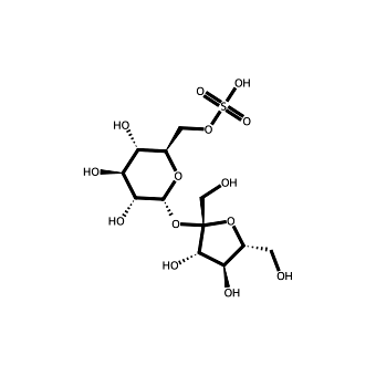 O=S(=O)(O)OC[C@H]1O[C@H](O[C@]2(CO)O[C@H](CO)[C@@H](O)[C@@H]2O)[C@H](O)[C@@H](O)[C@@H]1O